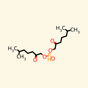 CC(C)CCCC(=O)CO[PH](=O)OCC(=O)CCCC(C)C